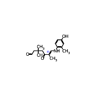 C/C(=C\Nc1ccc(O)cc1C)C(=O)CC(C)(C)CC=O